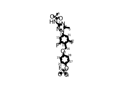 Cc1nc(NS(C)(=O)=O)nn1-c1cc(F)c(COc2ccc(OS(=O)(=O)F)cc2)c(F)c1